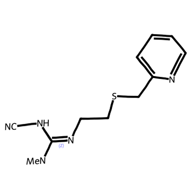 CN/C(=N/CCSCc1ccccn1)NC#N